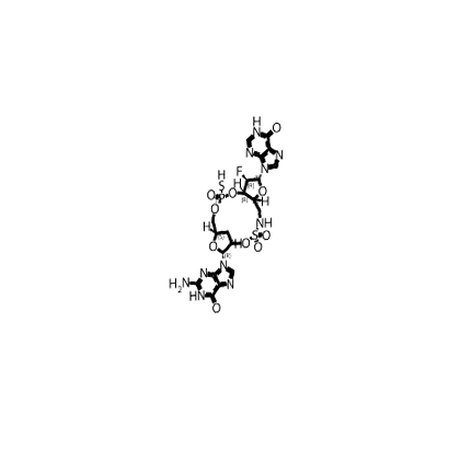 Nc1nc2c(ncn2[C@@H]2O[C@@H]3CO[P@](=O)(S)O[C@H]4[C@@H](F)[C@H](n5cnc6c(=O)[nH]cnc65)O[C@@H]4CNS(=O)(=O)O[C@@H]2C3)c(=O)[nH]1